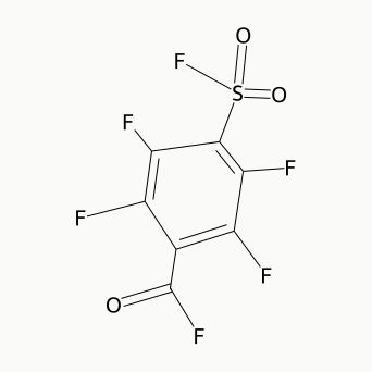 O=C(F)c1c(F)c(F)c(S(=O)(=O)F)c(F)c1F